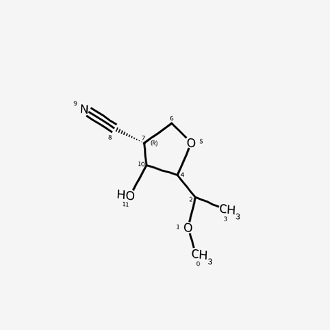 COC(C)C1OC[C@@H](C#N)C1O